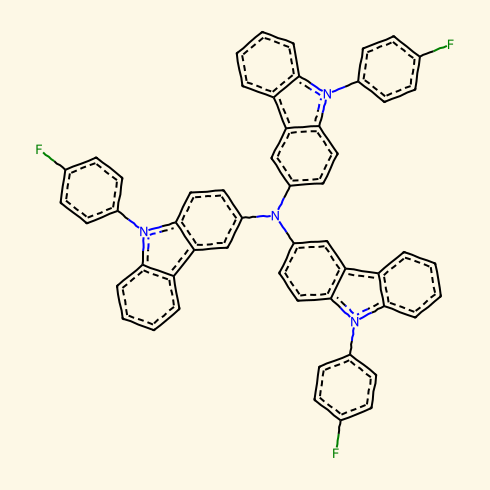 Fc1ccc(-n2c3ccccc3c3cc(N(c4ccc5c(c4)c4ccccc4n5-c4ccc(F)cc4)c4ccc5c(c4)c4ccccc4n5-c4ccc(F)cc4)ccc32)cc1